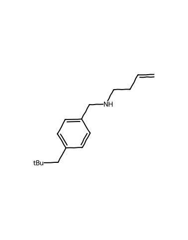 C=CCCNCc1ccc(CC(C)(C)C)cc1